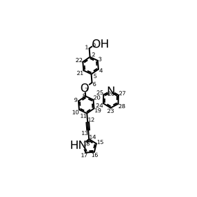 OCc1ccc(COc2ccc(C#Cc3ccc[nH]3)cc2)cc1.c1ccncc1